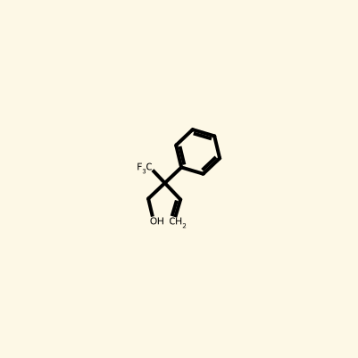 C=CC(CO)(c1ccccc1)C(F)(F)F